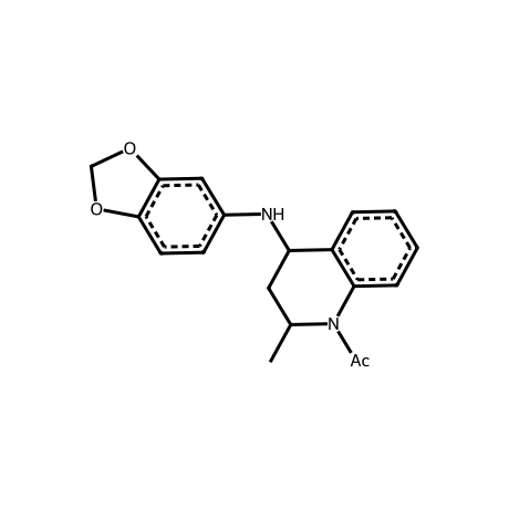 CC(=O)N1c2ccccc2C(Nc2ccc3c(c2)OCO3)CC1C